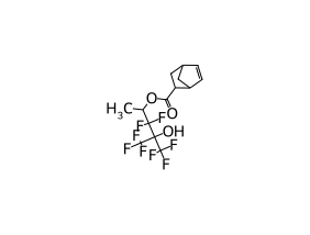 CC(OC(=O)C1CC2C=CC1C2)C(F)(F)C(O)(C(F)(F)F)C(F)(F)F